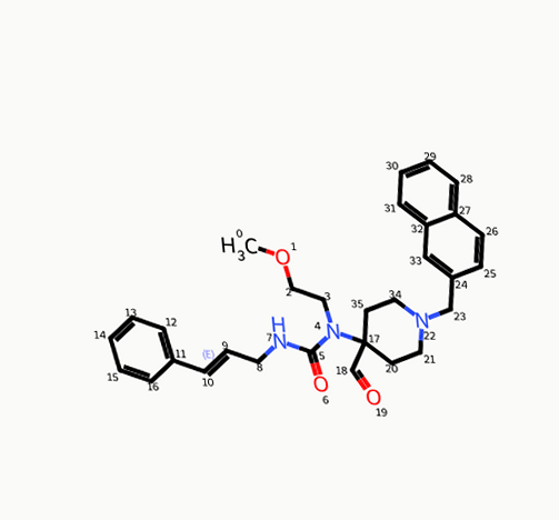 COCCN(C(=O)NC/C=C/c1ccccc1)C1(C=O)CCN(Cc2ccc3ccccc3c2)CC1